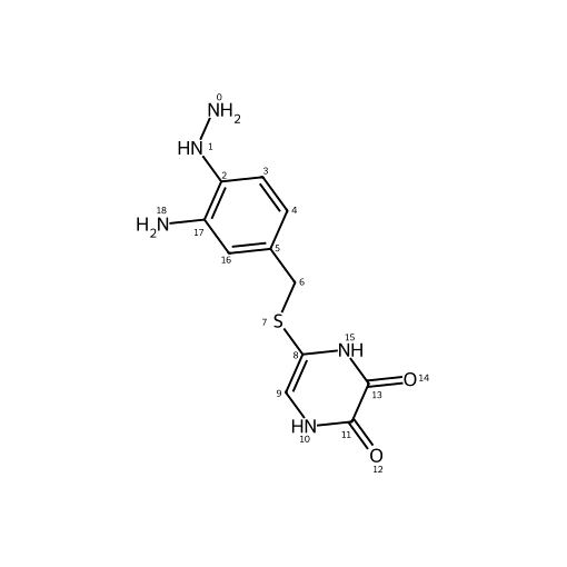 NNc1ccc(CSc2c[nH]c(=O)c(=O)[nH]2)cc1N